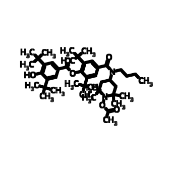 CCCCN(C(=O)c1cc(C(C)(C)C)c(OC(=O)c2cc(C(C)(C)C)c(O)c(C(C)(C)C)c2)c(C(C)(C)C)c1)C1CC(C)(C)N(OC(C)=O)C(C)(C)C1